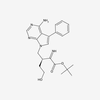 CC(C)(C)OC(=O)C(=N)[C@@H](CCO)Cn1cc(-c2ccccc2)c2c(N)ncnc21